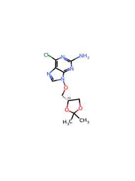 CC1(C)OC[C@@H](COn2cnc3c(Cl)nc(N)nc32)O1